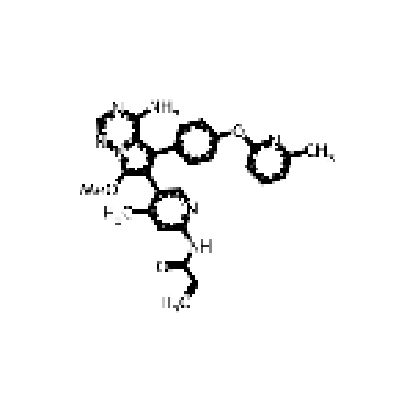 C=CC(=O)Nc1cc(C)c(-c2c(-c3ccc(Oc4cccc(C)n4)cc3)c3c(N)ncnn3c2OC)cn1